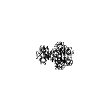 CC1(C)c2ccccc2N(c2cc3ccc4c(N(c5ccccc5)c5ccccc5)cc(N(c5ccccc5)c5ccccc5)c5ccc(c2)c3c45)c2ccccc21